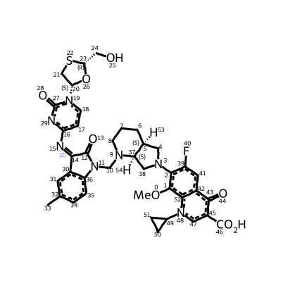 COc1c(N2C[C@@H]3CCCN(CN4C(=O)/C(=N\c5ccn([C@@H]6CS[C@H](CO)O6)c(=O)n5)c5cc(C)ccc54)[C@@H]3C2)c(F)cc2c(=O)c(C(=O)O)cn(C3CC3)c12